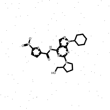 O=C(Nc1nc(N2CCCC2CO)nc2c1cnn2C1CCCCC1)c1ccc([N+](=O)[O-])s1